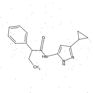 CCC(C(=O)Nc1cc(C2CC2)n[nH]1)c1ccccc1